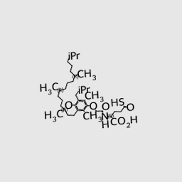 Cc1c2c(c(CC(C)C)c(C)c1OCC(=O)N[C@@H](CCC(=O)S)C(=O)O)O[C@](C)(CCC[C@H](C)CCC[C@H](C)CCCC(C)C)CC2